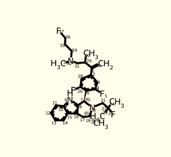 C=C(c1cc(F)c([C@@H]2c3[nH]c4ccccc4c3C[C@@H](C)N2CC(C)(C)F)c(F)c1)C(C)CN(C)CCCF